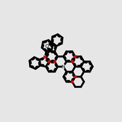 c1ccc(-n2c3ccccc3c3ccc(N(c4ccccc4-c4cccc5cccc(C6CCCCC6)c45)c4ccccc4-c4cccc5oc6ccccc6c45)cc32)cc1